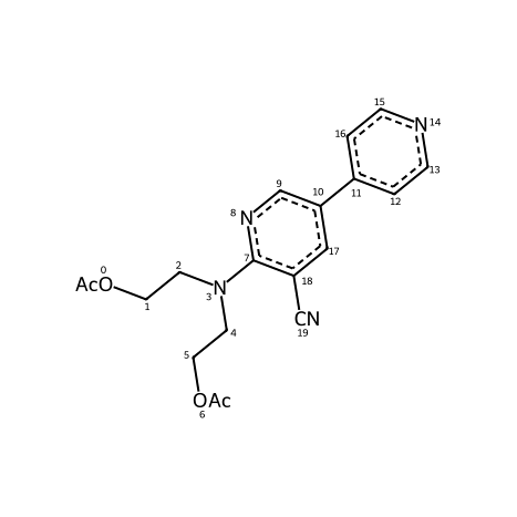 CC(=O)OCCN(CCOC(C)=O)c1ncc(-c2ccncc2)cc1C#N